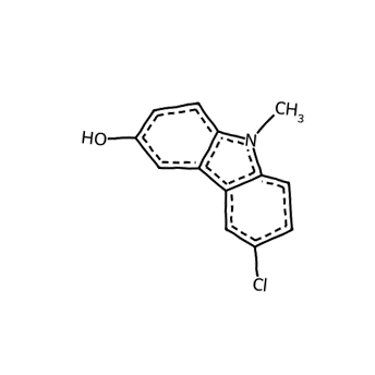 Cn1c2ccc(O)cc2c2cc(Cl)ccc21